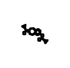 O=C(Oc1ccc2c(c1)CCN(C(=O)C1CC1)CC2)C1CC1